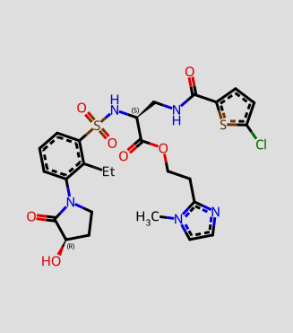 CCc1c(N2CC[C@@H](O)C2=O)cccc1S(=O)(=O)N[C@@H](CNC(=O)c1ccc(Cl)s1)C(=O)OCCc1nccn1C